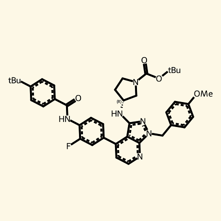 COc1ccc(Cn2nc(N[C@@H]3CCN(C(=O)OC(C)(C)C)C3)c3c(-c4ccc(NC(=O)c5ccc(C(C)(C)C)cc5)c(F)c4)ccnc32)cc1